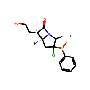 O=C(O)C1N2C(=O)[C@H](CCO)[C@@H]2CC1(Cl)[S+]([O-])c1ccccc1